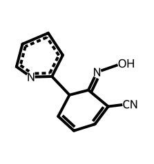 N#CC1=CC=CC(c2ccccn2)C1=NO